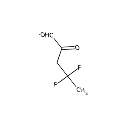 CC(F)(F)CC(=O)[C]=O